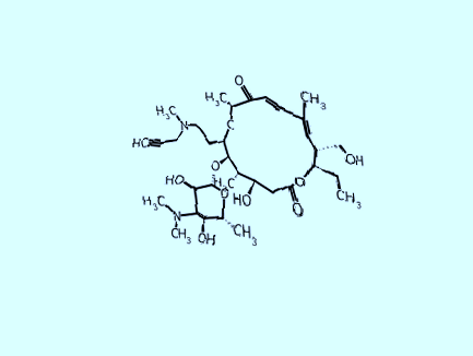 C#CCN(C)CC[C@H]1C[C@@H](C)C(=O)/C=C/C(C)=C/[C@H](CO)[C@@H](CC)OC(=O)C[C@@H](O)[C@H](C)[C@H]1O[C@@H]1O[C@H](C)[C@@H](O)C(N(C)C)C1O